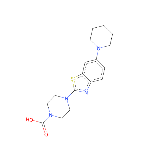 O=C(O)N1CCN(c2nc3ccc(N4CCCCC4)cc3s2)CC1